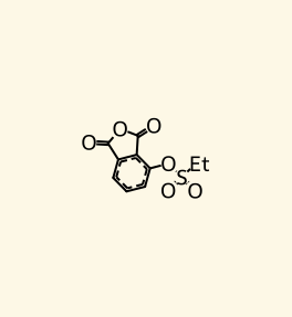 CCS(=O)(=O)Oc1cccc2c1C(=O)OC2=O